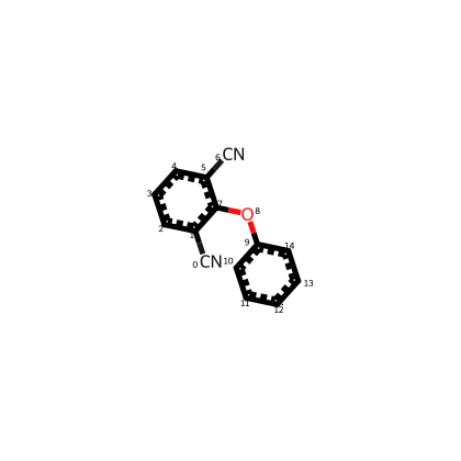 N#Cc1cccc(C#N)c1Oc1cc[c]cc1